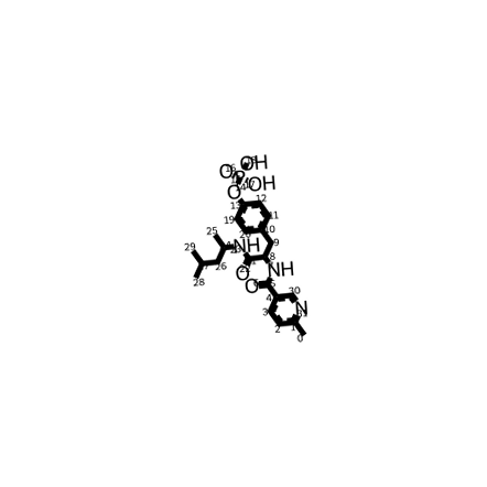 Cc1ccc(C(=O)NC(Cc2ccc(OP(=O)(O)O)cc2)C(=O)NC(C)CC(C)C)cn1